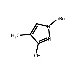 CCCCn1[c]c(C)c(C)n1